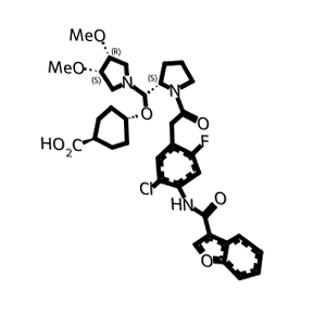 CO[C@H]1CN(C(O[C@H]2CC[C@H](C(=O)O)CC2)[C@@H]2CCCN2C(=O)Cc2cc(Cl)c(NC(=O)c3coc4ccccc34)cc2F)C[C@H]1OC